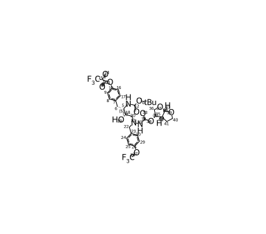 CC(C)(C)OC(=O)N[C@@H](Cc1ccc(OS(=O)(=O)C(F)(F)F)cc1)[C@@H](O)CN(Cc1ccc(OC(F)(F)F)cc1)NC(=O)O[C@H]1CO[C@H]2OCC[C@H]21